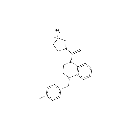 N[C@H]1CCN(C(=O)N2CCN(Cc3ccc(F)cc3)c3ccccc32)C1